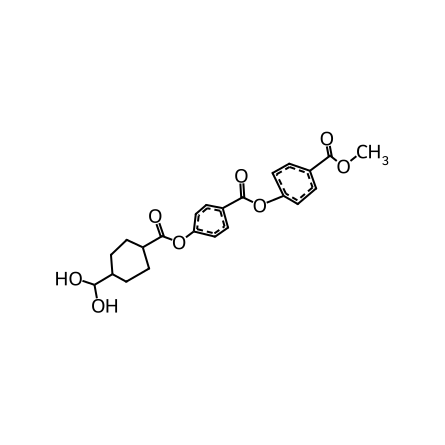 COC(=O)c1ccc(OC(=O)c2ccc(OC(=O)C3CCC(C(O)O)CC3)cc2)cc1